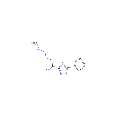 NC(CCCNC(=O)O)c1ncc(-c2ccccc2)[nH]1